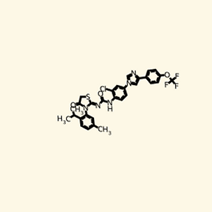 Cc1ccc(C(C)C)c(N2C(=O)CSC2=NC(=O)Nc2ccc(-n3cnc(-c4ccc(OC(F)(F)F)cc4)c3)cc2Cl)c1